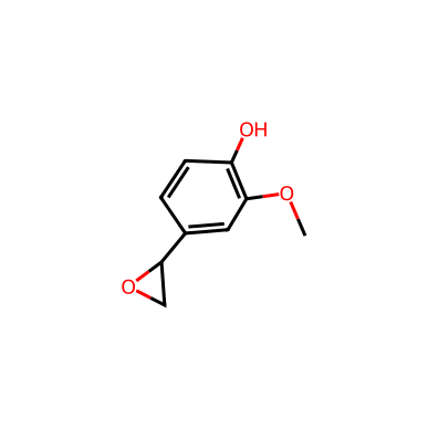 COc1cc(C2CO2)ccc1O